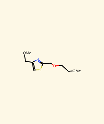 COCCOCc1nc(COC)cs1